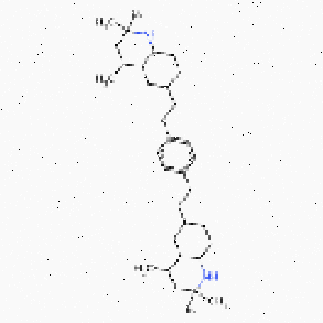 CCC1(C)CC(C)C2CC(CCc3ccc(CCC4CCC5NC(C)(CC)CC(C)C5C4)cc3)CCC2N1